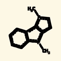 Cp1ccc2c1c1ccccc1p2C